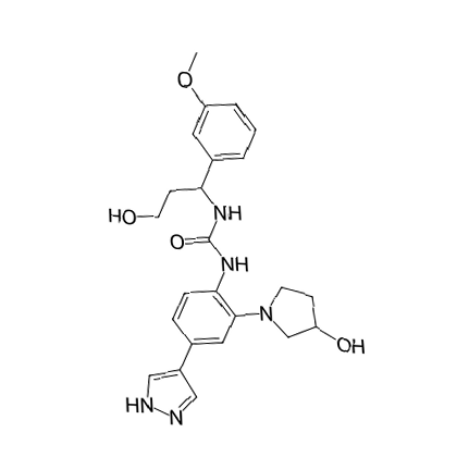 COc1cccc(C(CCO)NC(=O)Nc2ccc(-c3cn[nH]c3)cc2N2CCC(O)C2)c1